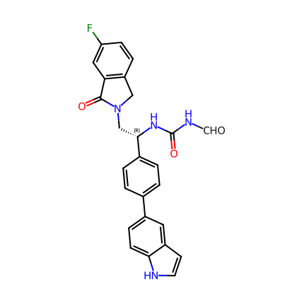 O=CNC(=O)N[C@@H](CN1Cc2ccc(F)cc2C1=O)c1ccc(-c2ccc3[nH]ccc3c2)cc1